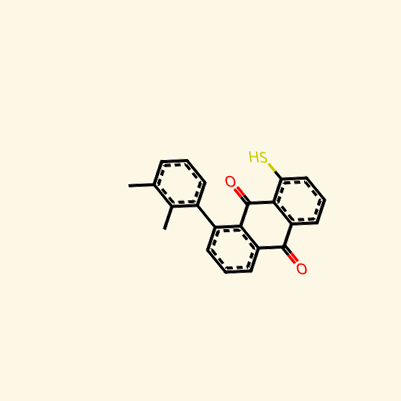 Cc1cccc(-c2cccc3c2C(=O)c2c(S)cccc2C3=O)c1C